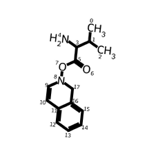 CC(C)C(N)C(=O)ON1C=Cc2ccccc2C1